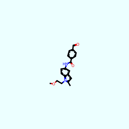 COCCn1c(C)cc2cc(NC(=O)c3ccc(C=O)cc3)ccc21